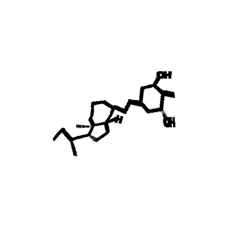 C=C1[C@H](O)CC(=C/C=C2\CCC[C@]3(C)[C@@H]([C@@H](C)CC)CC[C@@H]23)C[C@H]1O